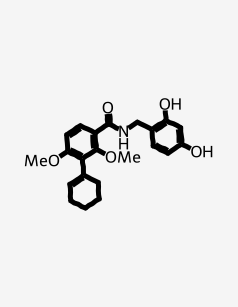 COc1ccc(C(=O)NCc2ccc(O)cc2O)c(OC)c1C1=CCCCC1